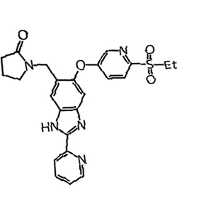 CCS(=O)(=O)c1ccc(Oc2cc3nc(-c4ccccn4)[nH]c3cc2CN2CCCC2=O)cn1